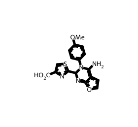 COc1ccc(N2C(N)=c3ccoc3=NC2c2nc(C(=O)O)cs2)cc1